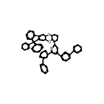 c1ccc(-c2cccc(-c3cc(-c4cccc(-c5ccccc5)c4)nc(-c4cccc5c4Oc4cc6c(cc4O5)-c4ccccc4C6(c4ccccc4)c4ccccc4)c3)c2)cc1